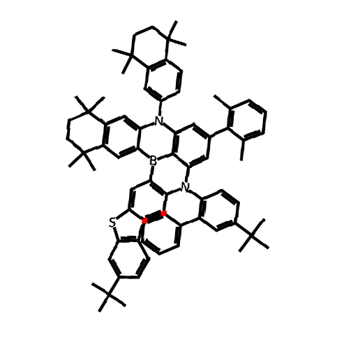 Cc1cccc(C)c1-c1cc2c3c(c1)N(c1ccc(C(C)(C)C)cc1-c1ccccc1)c1cc4c(cc1B3c1cc3c(cc1N2c1ccc2c(c1)C(C)(C)CCC2(C)C)C(C)(C)CCC3(C)C)sc1cc(C(C)(C)C)ccc14